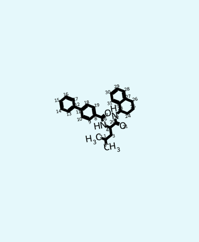 CC(C)CC(NC(=O)c1ccc(-c2ccccc2)cc1)C(=O)NC1CCCc2ccccc21